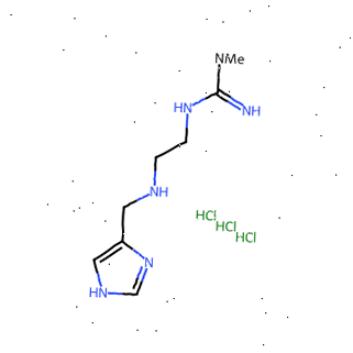 CNC(=N)NCCNCc1c[nH]cn1.Cl.Cl.Cl